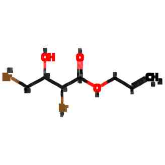 C=CCOC(=O)C(Br)C(O)CBr